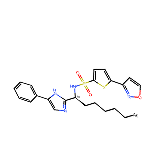 CC(=O)CCCCC[C@H](NS(=O)(=O)c1ccc(-c2ccon2)s1)c1ncc(-c2ccccc2)[nH]1